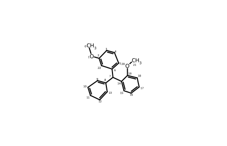 COc1cccc(C(c2ccccc2)c2ccccc2OC)c1